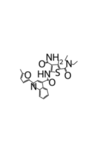 CCN(CC)C(=O)c1sc(NC(=O)c2cc(-c3ccc(C)o3)nc3ccccc23)c(C(N)=O)c1C